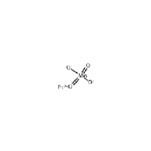 [O]=[Mo](=[O])([O-])[O-].[Pt+2]